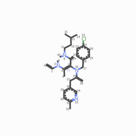 C=CN(C)/C(C)=C(\C(=C)N(C)CCC(C)C)N(Cc1ccc(Cl)cc1)C(=C)Cc1ccc(C)nc1